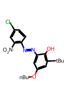 CCCCOc1cc(/N=N/c2ccc(Cl)cc2[N+](=O)[O-])c(O)c(C(C)(C)C)c1